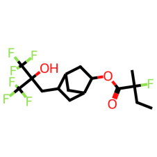 CCC(C)(F)C(=O)OC1CC2CC1CC2CC(O)(C(F)(F)F)C(F)(F)F